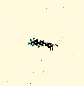 CCC[SiH]1CCC(CCc2ccc(-c3cc(F)c(/C(F)=C/F)c(F)c3)c(F)c2)CC1